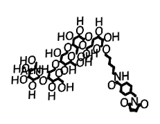 CC(=O)NC1C(OC2C(O)C(CO)OC(OC3C(CO)OC(OC4C(CO)OC(OCCCCCNC(=O)C5CCC(CN6C(=O)C=CC6=O)CC5)C(O)C4O)C(O)C3O)C2O)OC(CO)C(O)C1OC1OC(CO)C(O)C(O)C1O